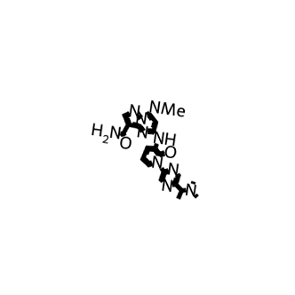 CNc1cc(Nc2cccn(-c3cnc(C(C)N(C)C)cn3)c2=O)nc2c(C(N)=O)cnn12